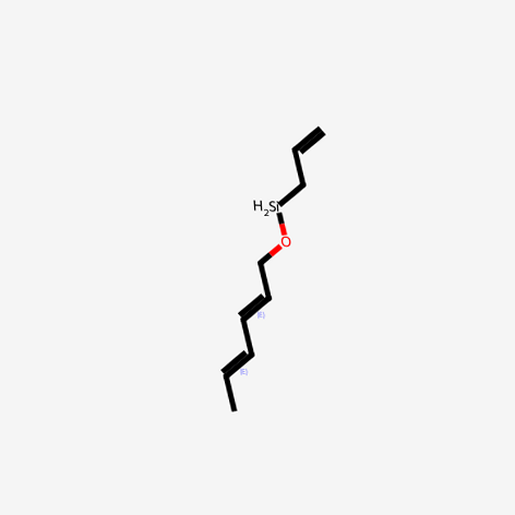 C=CC[SiH2]OC/C=C/C=C/C